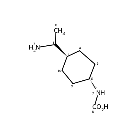 CC(N)[C@H]1CC[C@H](NC(=O)O)CC1